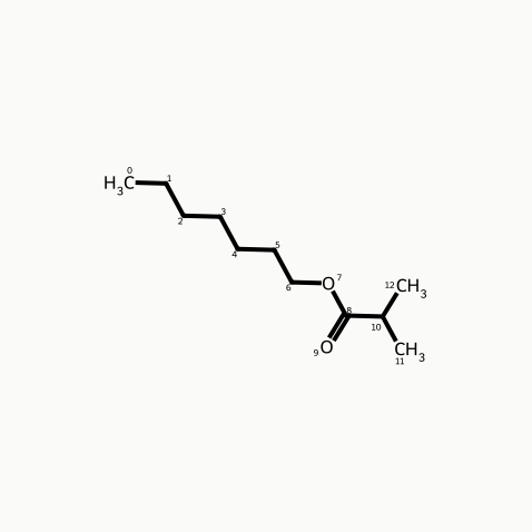 CCCCCCCOC(=O)C(C)C